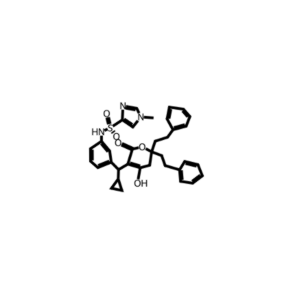 Cn1cnc(S(=O)(=O)Nc2cccc(C(C3=C(O)CC(CCc4ccccc4)(CCc4ccccc4)OC3=O)C3CC3)c2)c1